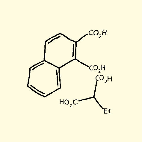 CCC(C(=O)O)C(=O)O.O=C(O)c1ccc2ccccc2c1C(=O)O